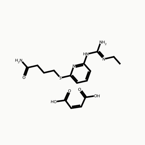 CCN=C(N)Nc1cccc(SCCCC(N)=O)n1.O=C(O)/C=C\C(=O)O